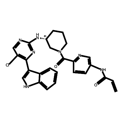 C=CC(=O)Nc1ccc(C(=O)N2CCC[C@@H](Nc3ncc(Cl)c(-c4c[nH]c5ccccc45)n3)C2)nc1